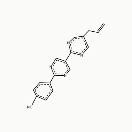 C=CCc1cnc(-c2cnc(-c3ccc(C#N)cc3)nc2)nc1